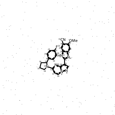 COc1cc2nc(-c3cnn4ccc(N5CCCC5c5ccc(F)cc5)nc34)[nH]c2cc1C#N